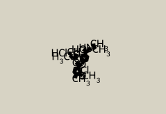 COc1c(C)ccc(C(=O)Oc2ccc(C(O)CNC(C)C)cc2OC(=O)CC(C)C)c1Cl.Cl